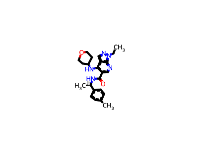 CCn1ncc2c(NC3CCOCC3)c(C(=O)N[C@H](C)c3ccc(C)cc3)cnc21